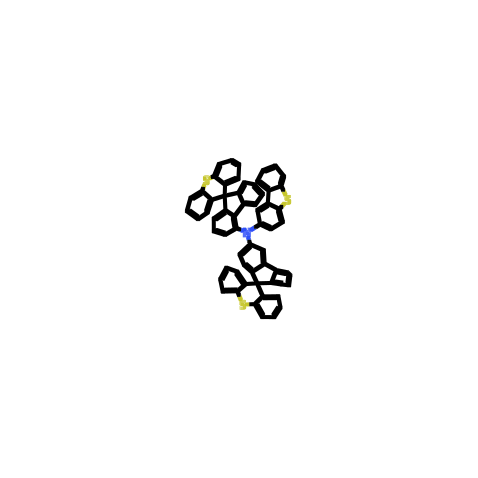 c1ccc2c(c1)Sc1ccccc1C21c2ccccc2-c2cc(N(c3ccc4sc5ccccc5c4c3)c3cccc4c3-c3ccccc3C43c4ccccc4Sc4ccccc43)ccc21